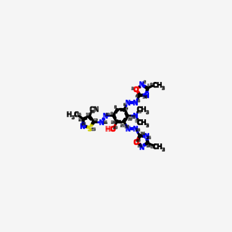 Cc1noc(/N=N/c2cc(/N=N/c3snc(C)c3C#N)c(O)c(/N=N/c3nc(C)no3)c2N(C)C)n1